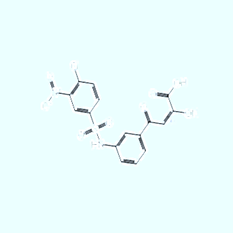 O=C(O)/C(O)=C\C(=O)c1cccc(NS(=O)(=O)c2ccc(Cl)c([N+](=O)[O-])c2)c1